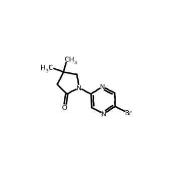 CC1(C)CC(=O)N(c2cnc(Br)cn2)C1